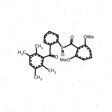 COc1cccc(OC)c1C(=O)[P](=O)c1ccccc1C(=O)c1c(C)c(C)cc(C)c1C